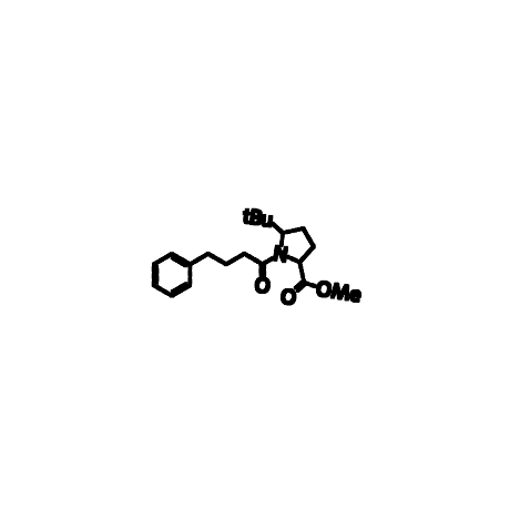 COC(=O)C1CCC(C(C)(C)C)N1C(=O)CCCc1ccccc1